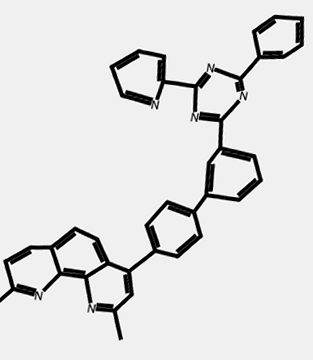 Cc1ccc2ccc3c(-c4ccc(-c5cccc(-c6nc(-c7ccccc7)nc(-c7ccccn7)n6)c5)cc4)cc(C)nc3c2n1